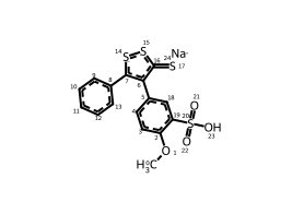 COc1ccc(-c2c(-c3ccccc3)ssc2=S)cc1S(=O)(=O)O.[Na]